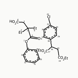 CCC(CC)(CC(=O)O)C(=O)Oc1ccccc1.CCOC(=O)CC(C(=O)OCC)c1ccc(Cl)cc1